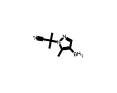 Bc1cnn(C(C)(C)C#N)c1C